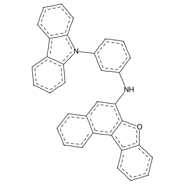 c1cc(Nc2cc3ccccc3c3c2oc2ccccc23)cc(-n2c3ccccc3c3ccccc32)c1